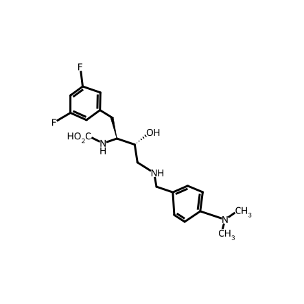 CN(C)c1ccc(CNC[C@@H](O)[C@H](Cc2cc(F)cc(F)c2)NC(=O)O)cc1